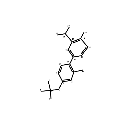 Cc1cc(CC(C)(C)C)ccc1-c1ccc(C)c(C(C)C)c1